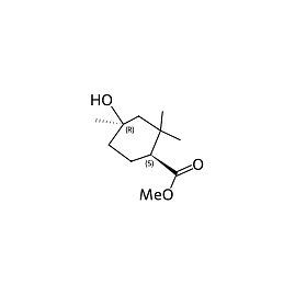 COC(=O)[C@H]1CC[C@@](C)(O)CC1(C)C